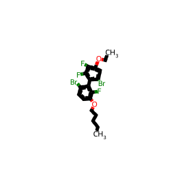 CCCCCOc1ccc(Br)c(-c2c(Br)cc(OCC)c(F)c2F)c1F